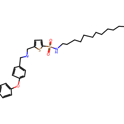 CCCCCCCCCCCCNS(=O)(=O)c1ccc(C[N]Cc2ccc(Oc3ccccc3)cc2)s1